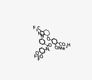 COc1cc(OC2CCCc3c(C(F)(F)F)nn(-c4cccc(C(=O)N(C)c5ccc6c(c5)OC(F)(F)O6)c4)c32)ccc1C(=O)O